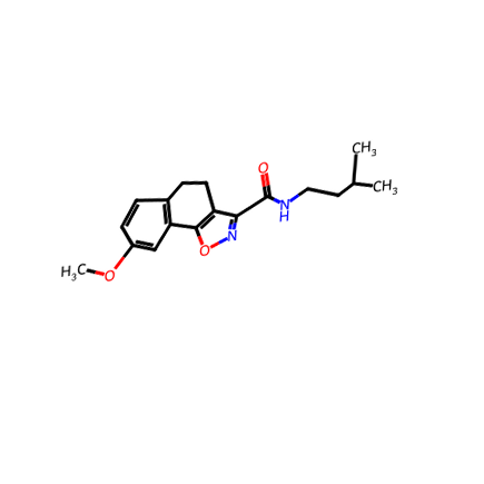 COc1ccc2c(c1)-c1onc(C(=O)NCCC(C)C)c1CC2